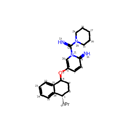 CCC[C@H]1CCC(Oc2ccc(=N)n(C(=N)N3CCCCC3)c2)c2ccccc21